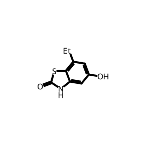 CCc1cc(O)cc2[nH]c(=O)sc12